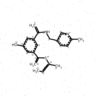 C=C(NCc1ccc(C)nc1)c1cc(O)cc(C(=C)S/C(C)=C\C)c1